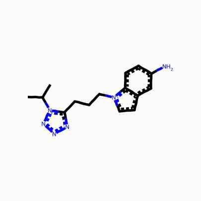 CC(C)n1nnnc1CCCn1ccc2cc(N)ccc21